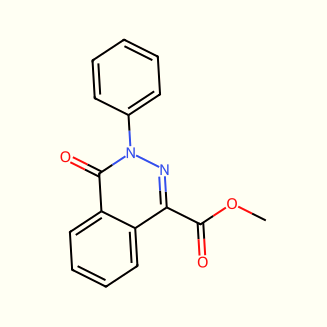 COC(=O)c1nn(-c2ccccc2)c(=O)c2ccccc12